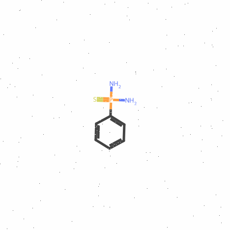 NP(N)(=S)c1ccccc1